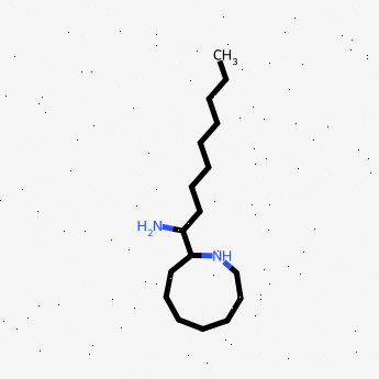 CCCCCCCCC(N)C1CCCCCCCN1